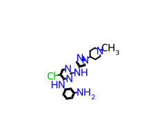 CN1CCC(n2cc(Nc3ncc(Cl)c(Nc4cccc(N)c4)n3)cn2)CC1